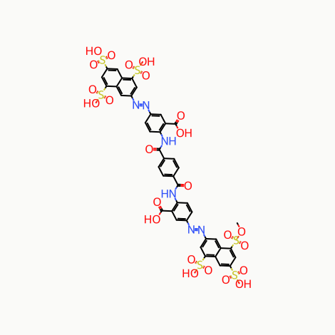 COS(=O)(=O)c1cc(S(=O)(=O)O)cc2c(S(=O)(=O)O)cc(/N=N/c3ccc(NC(=O)c4ccc(C(=O)Nc5ccc(/N=N/c6cc(S(=O)(=O)O)c7cc(S(=O)(=O)O)cc(S(=O)(=O)O)c7c6)cc5C(=O)O)cc4)c(C(=O)O)c3)cc12